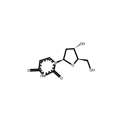 O=c1[c]cn([C@H]2C[C@H](O)[C@@H](CO)O2)c(=O)[nH]1